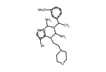 COc1cccc(C(C)N2C(N)N(CCN3CCOCC3)c3c(C(C)C)cnn3C2N)c1